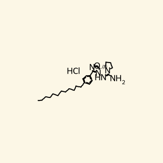 CCCCCCCCCCCCc1ccc(-c2noc([C@@H]3CCCN3C(=N)N)n2)cc1.Cl